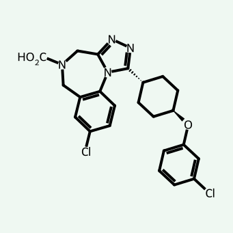 O=C(O)N1Cc2cc(Cl)ccc2-n2c(nnc2[C@H]2CC[C@H](Oc3cccc(Cl)c3)CC2)C1